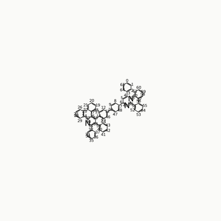 c1ccc(-c2cc(-c3ccc(-c4ccc(-c5c(-c6ccccc6)c(-c6ccccc6)nc(-c6ccccc6)c5-c5ccccc5)cc4)cc3)nc(-c3ccccc3-c3ccccc3)n2)cc1